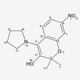 CC1(C)Oc2cc([N+](=O)[O-])ccc2C(N2CCCC2)=C1O